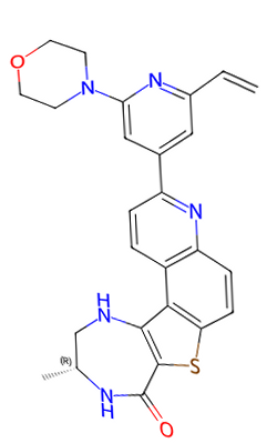 C=Cc1cc(-c2ccc3c(ccc4sc5c(c43)NC[C@@H](C)NC5=O)n2)cc(N2CCOCC2)n1